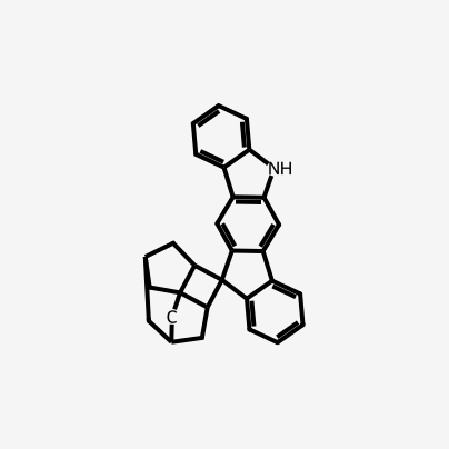 c1ccc2c(c1)-c1cc3[nH]c4ccccc4c3cc1C21C2CC3CC4CC1C2(C3)C4